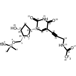 CC(C)(C)[Si](C)(C)OC[C@H]1O[C@@H](n2cc(C#CCNC(=O)C(F)(F)F)c(=O)[nH]c2=O)C[C@H]1O